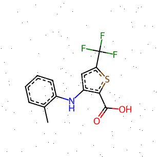 Cc1ccccc1Nc1cc(C(F)(F)F)sc1C(=O)O